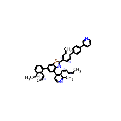 C=C/C=C(\C=C/Cc1ccc(-c2cccnc2)cc1)c1nc2c(-c3ccnc(C)c3/C=C\C=C/C)cc(-c3cccc(CC)c3/C=C\C)cc2s1